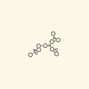 c1ccc(-c2nc3c(ccc4c(-c5ccc(N(c6ccc7c(c6)oc6ccccc67)c6ccc7c(c6)c6ccccc6n7-c6ccccc6)cc5)cccc43)o2)cc1